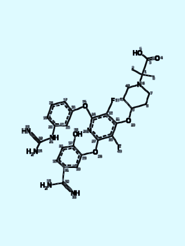 CC(C)(C(=O)O)N1CCC(Oc2c(F)c(Oc3cccc(NC(=N)N)c3)nc(Oc3cc(C(=N)N)ccc3O)c2F)CC1